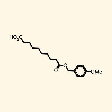 COc1ccc(COC(=O)CCCCCCCCC(=O)O)cc1